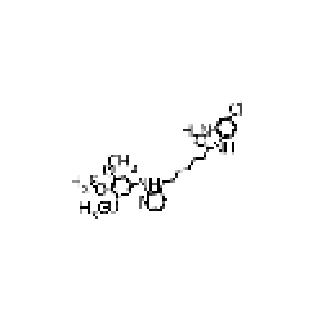 COc1cc(Nc2ncccc2CCCCCCC(=O)Nc2ccc(Cl)cc2N)cc(OC)c1OC